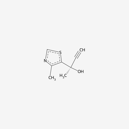 C#C[C@@](C)(O)c1scnc1C